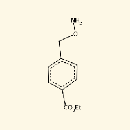 CCOC(=O)c1ccc(CON)cc1